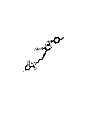 CNc1nc(Nc2ccc(F)cc2)ncc1C#CCCCNC(=O)C1C[C@H](C)CN1